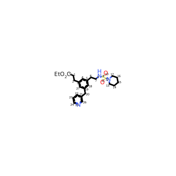 CCOC(=O)CCc1cc(CCNS(=O)(=O)N2CCCCC2)cc(Cc2cccnc2)c1